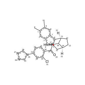 Cc1cc2[nH]c3c(c2cc1C)[C@H]1CC[C@@H](C3)C1NC(=O)c1ccc(-n2cnnc2)cc1Cl